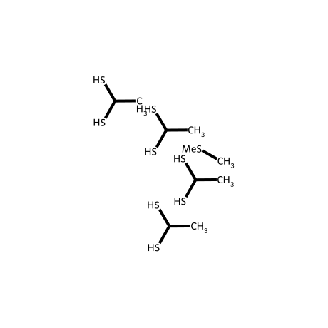 CC(S)S.CC(S)S.CC(S)S.CC(S)S.CSC